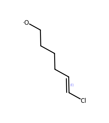 [O]CCCC/C=C/Cl